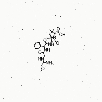 COCC(=N)NCC(=O)NC(C(=O)N[C@@H]1C(=O)N2[C@@H]1SC(C)(C)[C@@H]2C(=O)O)c1ccccc1